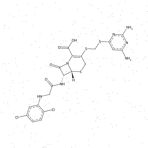 Nc1cc(SCSC2=C(C(=O)O)N3C(=O)[C@@H](NC(=O)CNc4cc(Cl)ccc4Cl)[C@H]3SC2)nc(N)n1